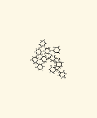 c1ccc(-c2nc(-c3ccccc3)nc(-c3cc(-c4c(-c5ccccc5)cccc4-c4ccccc4)cnc3-c3ccc4oc5ccc6c(c7ccccc7n6-c6ccccc6)c5c4c3)n2)cc1